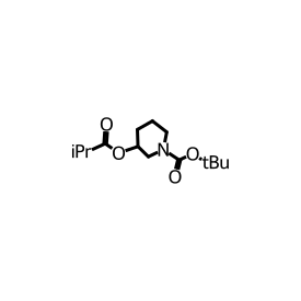 CC(C)C(=O)OC1CCCN(C(=O)OC(C)(C)C)C1